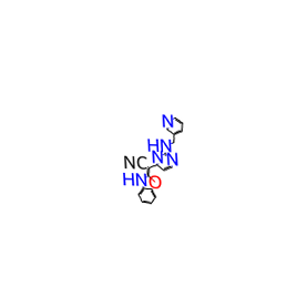 N#C/C(=C1\Nc2ccccc2O1)c1ccnc(NCc2cccnc2)n1